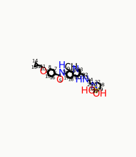 Cc1c(NC(=O)c2ccc(OCC3CC3)cc2)ccc2cc(CNCCN3CCCS3(O)O)cnc12